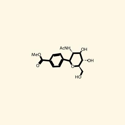 COC(=O)c1ccc(C2O[C@H](CO)[C@@H](O)[C@H](O)[C@H]2NC(C)=O)cc1